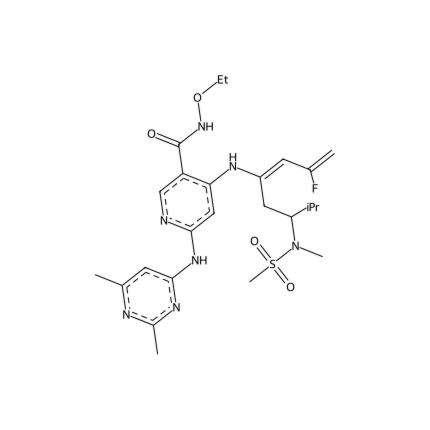 C=C(F)/C=C(\CC(C(C)C)N(C)S(C)(=O)=O)Nc1cc(Nc2cc(C)nc(C)n2)ncc1C(=O)NOCC